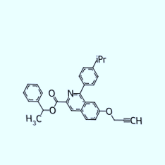 C#CCOc1ccc2cc(C(=O)OC(C)c3ccccc3)nc(-c3ccc(C(C)C)cc3)c2c1